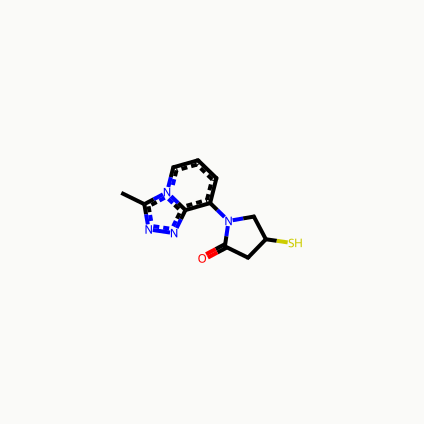 Cc1nnc2c(N3CC(S)CC3=O)cccn12